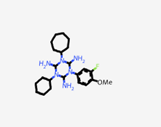 COc1ccc(N2C(N)N(C3CCCCCC3)C(N)N(C3CCCCC3)C2N)cc1F